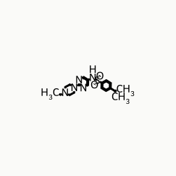 CCN1CCN(c2ncc(NS(=O)(=O)c3ccc(C(C)C)cc3)cn2)CC1